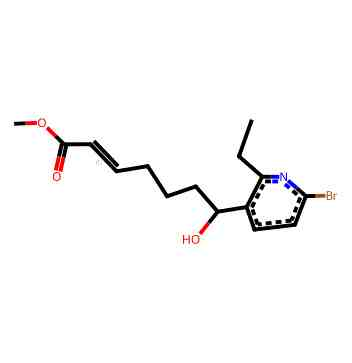 CCc1nc(Br)ccc1C(O)CCC/C=C/C(=O)OC